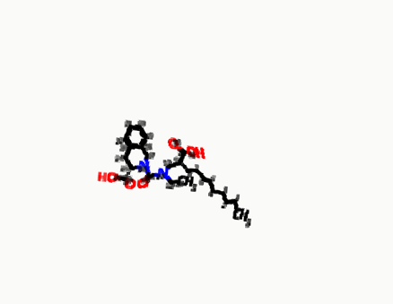 CCCCCCCCC[C@@H](CN(CC)C(=O)N1Cc2ccccc2C[C@H]1C(=O)O)C(=O)O